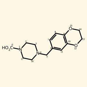 O=C(O)N1CCN(Cc2ccc3c(c2)OCCO3)CC1